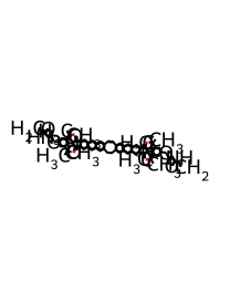 C=CC(=O)NCOc1cc(C(C)C)c(N2C(=O)c3cc4cc5cc6c(cc5cc4cc3C2=O)CCc2cc3cc4cc5c(cc4cc3cc2/C=C\6)C(=O)N(c2c(C(C)C)cc(OCNC(=O)C=C)cc2C(C)C)C5=O)c(C(C)C)c1